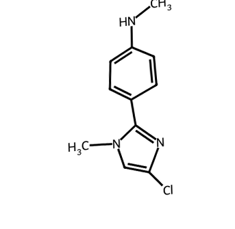 CNc1ccc(-c2nc(Cl)cn2C)cc1